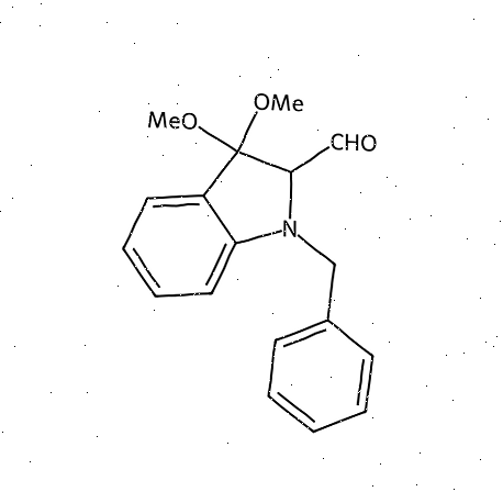 COC1(OC)c2ccccc2N(Cc2ccccc2)C1C=O